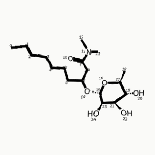 CCCCCCCC(CC(=O)N(C)C)O[C@@H]1O[C@@H](C)[C@H](O)[C@@H](O)[C@H]1O